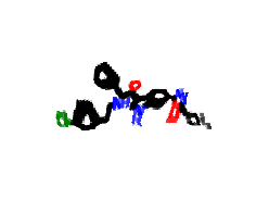 Cc1nnc(-c2ccc3c(C(=O)C(NCCc4ccc(Cl)cc4)c4ccccc4)c[nH]c3c2)o1